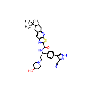 CC(C)(C)[C@H]1CCc2nc3sc(C(=O)N[C@H](CCN4CCC(O)CC4)c4ccc(-c5c[nH]nc5C#N)cc4)nc3cc2C1